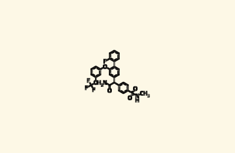 CNS(=O)(=O)c1ccc(C(C(N)=O)c2ccc(-c3ccccc3F)c(Oc3cccc(OC(F)(F)F)c3)c2)cc1